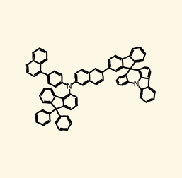 c1ccc(C2(c3ccccc3)c3ccccc3-c3c(N(c4ccc(-c5cccc6ccccc56)cc4)c4ccc5cc(-c6ccc7c(c6)C6(c8ccccc8-7)c7ccccc7-n7c8ccccc8c8cccc6c87)ccc5c4)cccc32)cc1